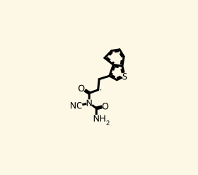 N#CN(C(N)=O)C(=O)[CH]Cc1csc2ccccc12